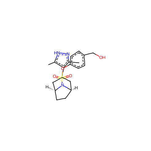 Cc1n[nH]c(C)c1S(=O)(=O)N1[C@@H]2CC[C@H]1C[C@H](Oc1ccc(CO)cc1)C2